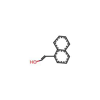 OC=Cc1cccc2ccccc12